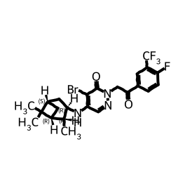 C[C@@H]1[C@H]2C[C@@H](C[C@H]1Nc1cnn(CC(=O)c3ccc(F)c(C(F)(F)F)c3)c(=O)c1Br)C2(C)C